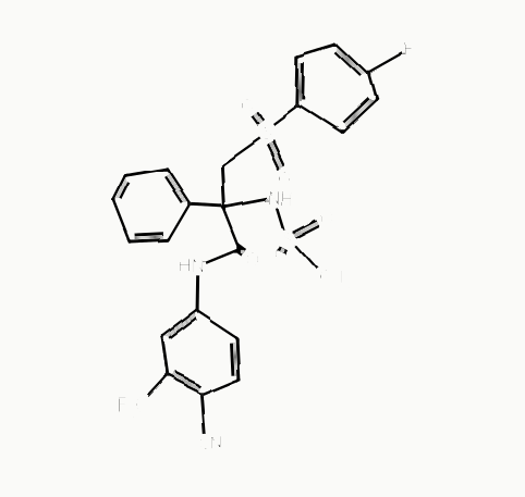 CS(=O)(=O)NC(CS(=O)(=O)c1ccc(F)cc1)(C(=O)Nc1ccc(C#N)c(C(F)(F)F)c1)c1ccccc1